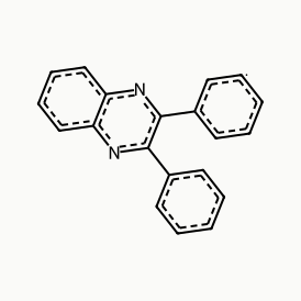 [c]1cccc(-c2nc3ccccc3nc2-c2ccccc2)c1